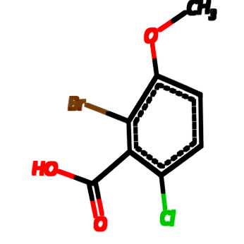 COc1ccc(Cl)c(C(=O)O)c1Br